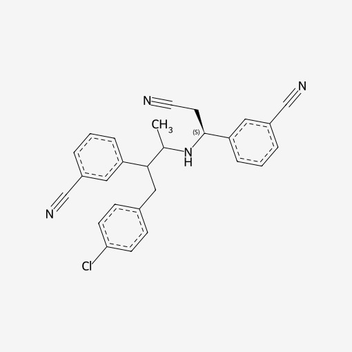 CC(N[C@@H](CC#N)c1cccc(C#N)c1)C(Cc1ccc(Cl)cc1)c1cccc(C#N)c1